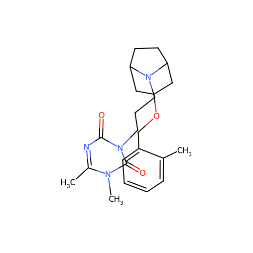 Cc1ccccc1COC1CC2CCC(C1)N2CCCn1c(=O)nc(C)n(C)c1=O